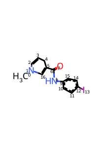 CN1C=CCC(C(=O)Nc2ccc(I)cc2)=C1